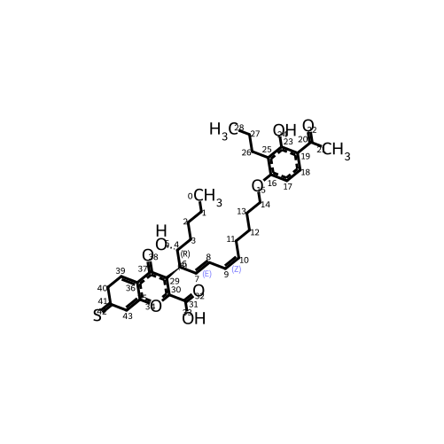 CCCC[C@@H](O)[C@@H](/C=C/C=C\CCCCOc1ccc(C(C)=O)c(O)c1CCC)c1c(C(=O)O)oc2c(c1=O)=CCC(=S)C=2